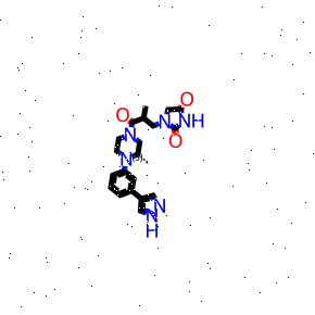 CC(CN1CC(=O)NC1=O)C(=O)N1CCN(c2cccc(-c3cn[nH]c3)c2)[C@@H](C)C1